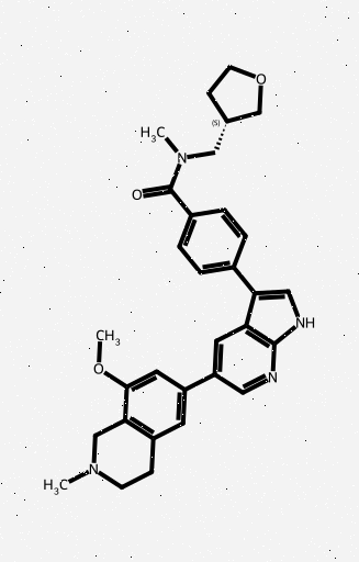 COc1cc(-c2cnc3[nH]cc(-c4ccc(C(=O)N(C)C[C@@H]5CCOC5)cc4)c3c2)cc2c1CN(C)CC2